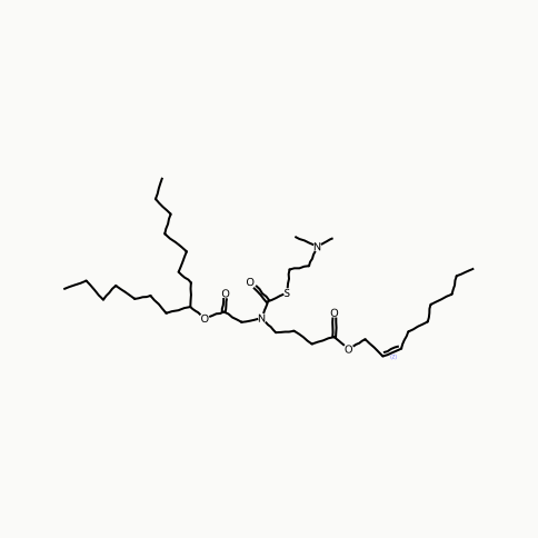 CCCCCC/C=C\COC(=O)CCCN(CC(=O)OC(CCCCCCC)CCCCCCC)C(=O)SCCN(C)C